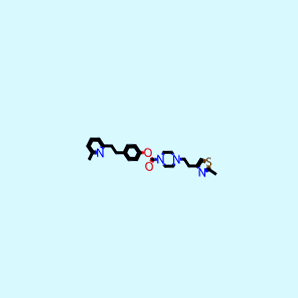 Cc1cccc(CCc2ccc(OC(=O)N3CCN(CCc4csc(C)n4)CC3)cc2)n1